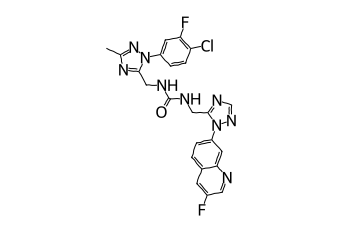 Cc1nc(CNC(=O)NCc2ncnn2-c2ccc3cc(F)cnc3c2)n(-c2ccc(Cl)c(F)c2)n1